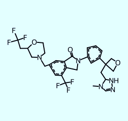 CN1C=NNC1CC1(c2cccc(N3Cc4c(cc(CN5CCOC(CC(F)(F)F)C5)cc4C(F)(F)F)C3=O)c2)COC1